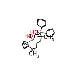 C[C@@H](CCCC(C)(C)[Si](O)(c1ccccc1)c1ccccc1)C1=CC=C[C@@H]1CO